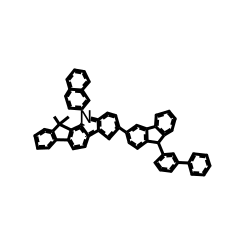 CC1(C)c2ccccc2-c2ccc3c4cc(-c5ccc6c(c5)-c5ccccc5C6c5cccc(-c6ccccc6)c5)ccc4n(-c4ccc5ccccc5c4)c3c21